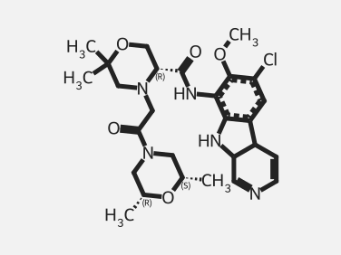 COc1c(Cl)cc2c(c1NC(=O)[C@H]1COC(C)(C)CN1CC(=O)N1C[C@@H](C)O[C@@H](C)C1)NC1C=NC=CC21